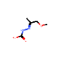 COCC(C)=NNC(=O)O